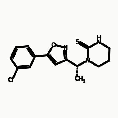 C[C@H](c1cc(-c2cccc(Cl)c2)on1)N1CCCNC1=S